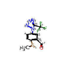 CSc1ccc(-n2nnnc2C(F)(F)F)cc1C=O